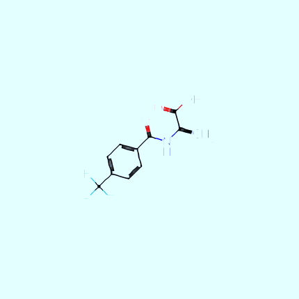 C=C(NC(=O)c1ccc(C(F)(F)F)cc1)C(=O)O